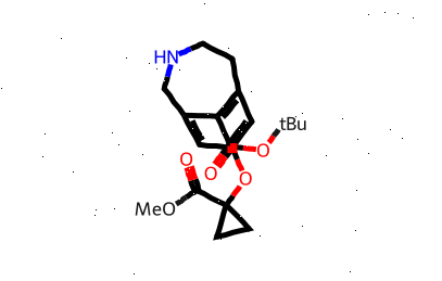 COC(=O)C1(Oc2cc3c(C(=O)OC(C)(C)C)c(c2)CNCC3)CC1